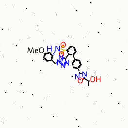 COc1ccc(Cn2nnc(-c3c(-c4ccc(-c5noc(C(C)O)n5)cc4)cccc3S(N)(=O)=O)n2)cc1